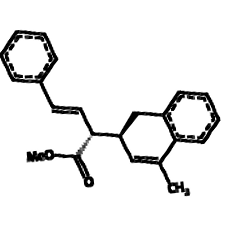 COC(=O)[C@H](/C=C/c1ccccc1)[C@@H]1C=C(C)c2ccccc2C1